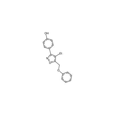 CCc1c(-c2ccc(O)cc2)noc1COc1ccccc1